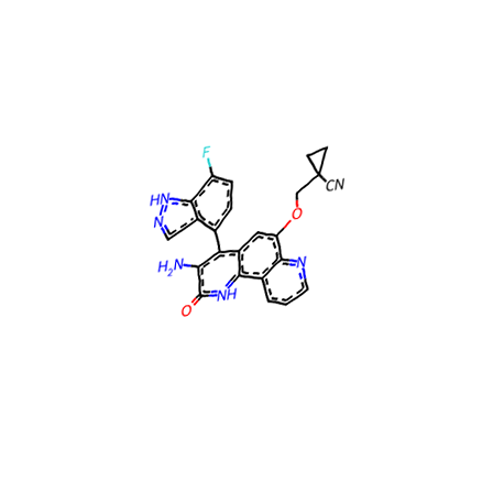 N#CC1(COc2cc3c(-c4ccc(F)c5[nH]ncc45)c(N)c(=O)[nH]c3c3cccnc23)CC1